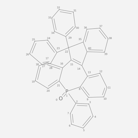 O=P1(c2ccccc2)c2ccccc2C2=C(c3ccccc31)C(c1ccccc1)(c1ccccc1)c1ccccc12